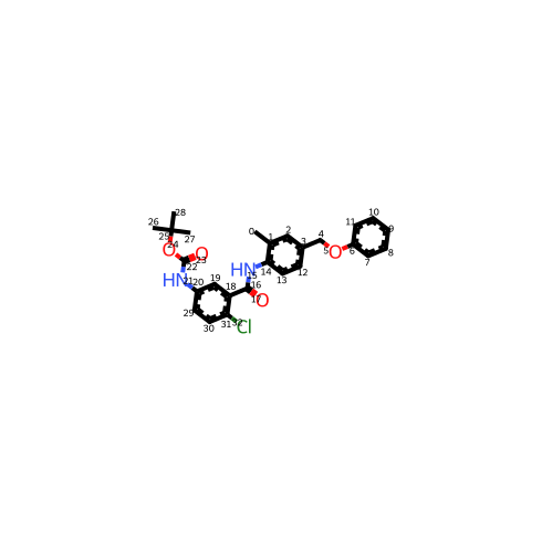 Cc1cc(COc2ccccc2)ccc1NC(=O)c1cc(NC(=O)OC(C)(C)C)ccc1Cl